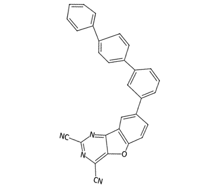 N#Cc1nc(C#N)c2oc3ccc(-c4cccc(-c5ccc(-c6ccccc6)cc5)c4)cc3c2n1